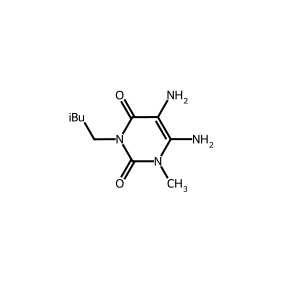 CCC(C)Cn1c(=O)c(N)c(N)n(C)c1=O